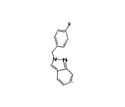 Fc1ccc(Cn2cc3cc[c]cc3n2)cc1